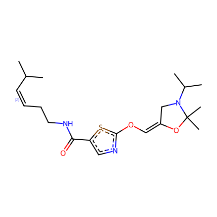 CC(C)/C=C\CCNC(=O)c1cnc(OC=C2CN(C(C)C)C(C)(C)O2)s1